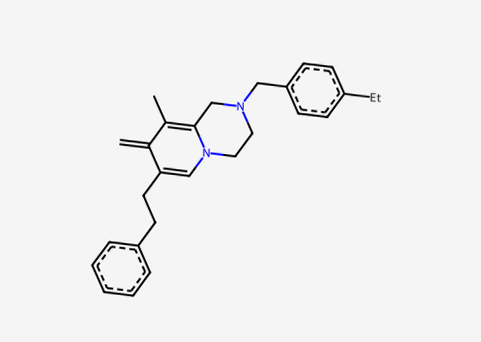 C=C1C(CCc2ccccc2)=CN2CCN(Cc3ccc(CC)cc3)CC2=C1C